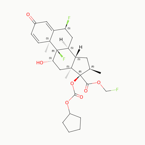 C[C@@H]1C[C@H]2[C@@H]3C[C@H](F)C4=CC(=O)C=C[C@]4(C)[C@@]3(F)[C@@H](O)C[C@]2(C)[C@@]1(OC(=O)OC1CCCC1)C(=O)OCF